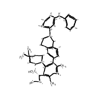 Cc1nc(C)c([C@H](OC(C)(C)C)C(=O)O)c(N2CCC(C)(C)CC2)c1-c1ccc2c(c1)CCN(c1cc(Nc3ccccc3)ncn1)C2